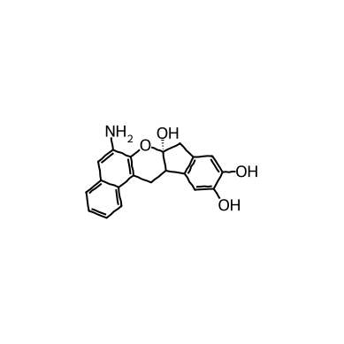 Nc1cc2ccccc2c2c1O[C@@]1(O)Cc3cc(O)c(O)cc3C1C2